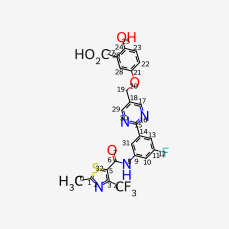 Cc1nc(C(F)(F)F)c(C(=O)Nc2cc(F)cc(-c3ncc(COc4ccc(O)c(C(=O)O)c4)cn3)c2)s1